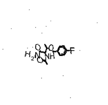 CC(=O)NC(C(N)=O)C(C)OCc1ccc(F)cc1